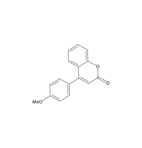 COc1ccc(-c2cc(=O)oc3ccccc23)cc1